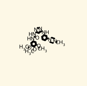 COc1cc(NC(=O)Nc2cc(Nc3cccc(N4CCN(C)CC4)c3)ncn2)cc(OC)c1OC